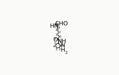 Nc1ccccc1NC(=O)CCCCCNC=O